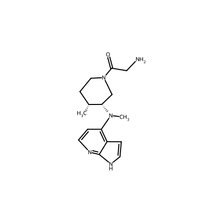 C[C@@H]1CCN(C(=O)CN)C[C@@H]1N(C)c1ccnc2[nH]ccc12